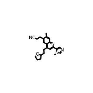 Cc1cc2nc(-c3cncn3C)cc(CCC3CCCO3)c2cc1CCC#N